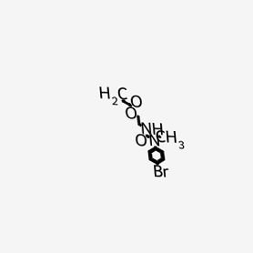 C=CC(=O)OCCNC(=O)N(C)c1ccc(Br)cc1